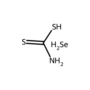 NC(=S)S.[SeH2]